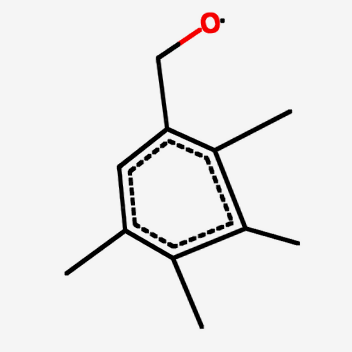 Cc1cc(C[O])c(C)c(C)c1C